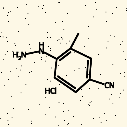 Cc1cc(C#N)ccc1NN.Cl